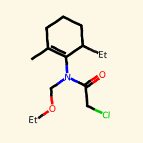 CCOCN(C(=O)CCl)C1=C(C)CCCC1CC